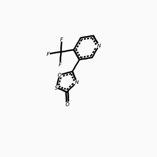 O=c1nc(-c2cnccc2C(F)(F)F)os1